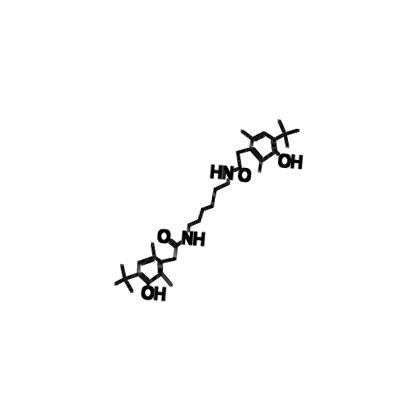 Cc1cc(C(C)(C)C)c(O)c(C)c1CC(=O)NCCCCCCNC(=O)Cc1c(C)cc(C(C)(C)C)c(O)c1C